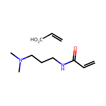 C=CC(=O)NCCCN(C)C.C=CC(=O)O